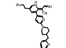 CC(C)CCC1=CN/C(=C(/C#N)C=N)C(c2ccc(N3CCC(Cc4ccccn4)CC3)nc2)=C1